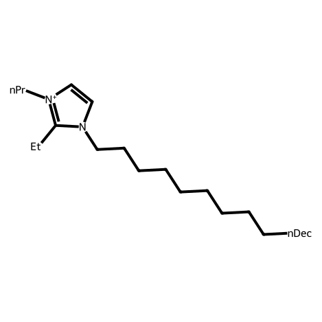 CCCCCCCCCCCCCCCCCCCn1cc[n+](CCC)c1CC